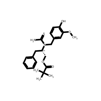 COc1cc(CN(C(N)=S)[C@H](COC(=O)C(C)(C)C)Cc2ccccc2)ccc1O